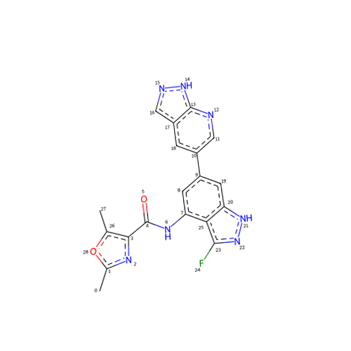 Cc1nc(C(=O)Nc2cc(-c3cnc4[nH]ncc4c3)cc3[nH]nc(F)c23)c(C)o1